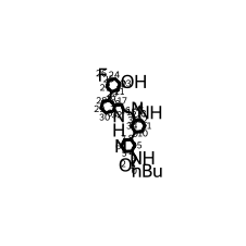 CCCCC(=O)Nc1cncc(-c2ccc3[nH]nc(-c4cc5c(-c6cc(O)cc(F)c6)cccc5[nH]4)c3c2)c1